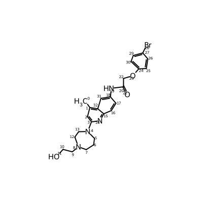 Cc1cc(N2CCCN(CCO)CC2)nc2ccc(NC(=O)COc3ccc(Br)cc3)cc12